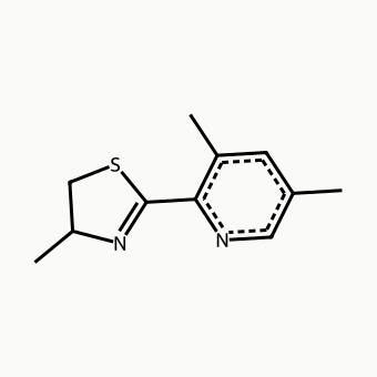 Cc1cnc(C2=NC(C)CS2)c(C)c1